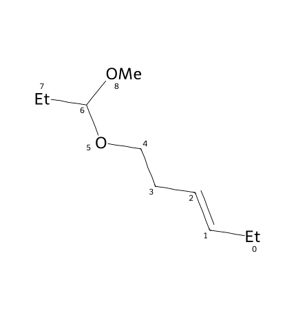 CC/C=C/CCOC(CC)OC